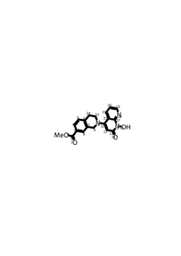 COC(=O)c1ccc2c(c1)CN(c1cc(=O)n(O)c3ncccc13)CC2